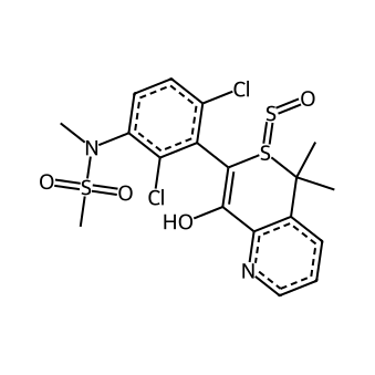 CN(c1ccc(Cl)c(C2=C(O)c3ncccc3C(C)(C)S2=S=O)c1Cl)S(C)(=O)=O